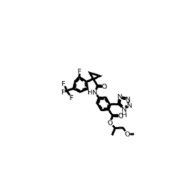 COCC(C)OC(=O)c1ccc(NC(=O)C2(c3ccc(C(F)(F)F)cc3F)CC2)cc1-c1nnn[nH]1